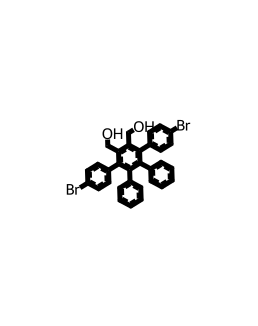 OCc1c(CO)c(-c2ccc(Br)cc2)c(-c2ccccc2)c(-c2ccccc2)c1-c1ccc(Br)cc1